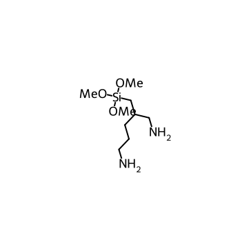 CO[Si](CC(CN)CCCN)(OC)OC